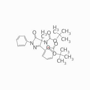 CC(C)(C)OC(=O)ON(C(=O)OC(C)(C)C)C1(C)C(=O)N(c2ccccc2)N=C1c1ccccc1